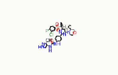 Cc1n[nH]cc1NC(=O)Nc1ccc(-c2nc(N3CCOC[C@@H]3C)cc(C3(S(=O)(=O)c4ccc(F)c(Cl)c4)CC3)n2)cc1